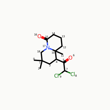 CC1(C)CC(C(=O)C(Cl)Cl)C2(C)CCCC(=O)N2C1